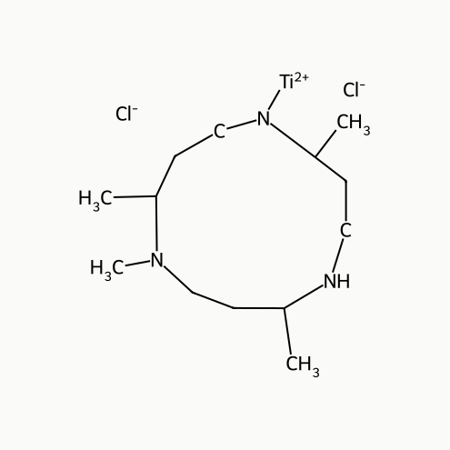 CC1CCN(C)C(C)CC[N]([Ti+2])C(C)CCN1.[Cl-].[Cl-]